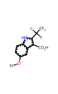 CCOc1ccc2[nH]c(C(F)(F)C(F)(F)F)c(C(=O)O)c2c1